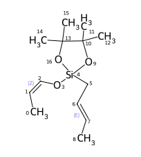 C/C=C\O[Si]1(C/C=C/C)OC(C)(C)C(C)(C)O1